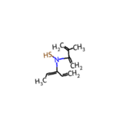 C=C/C(=C\C)N(S)C(=C)C(=C)C